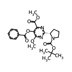 COC(=O)c1nc([C@@H]2CCCN2C(=O)OC(C)(C)C)nc(OC)c1OC(=O)c1ccccc1